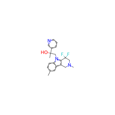 Cc1ccc2c(c1)c1c(n2CC(C)(O)c2cccnc2)C(F)(F)CN(C)C1